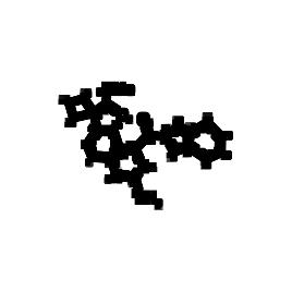 CNC(=O)C1(c2ccc3nc(N)nc(C(=O)n4cc5ccccc5c4)c3c2)CCC1